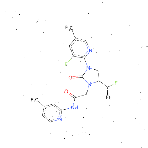 CC[C@H](F)[C@H]1CN(c2ncc(C(F)(F)F)cc2F)C(=O)N1CC(=O)Nc1cc(C(F)(F)F)ccn1